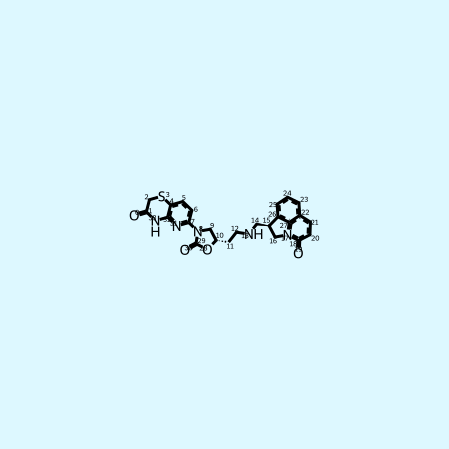 O=C1CSc2ccc(N3C[C@H](CCNC[C@@H]4Cn5c(=O)ccc6cccc4c65)OC3=O)nc2N1